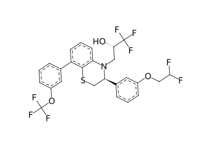 O[C@@H](CN1c2cccc(-c3cccc(OC(F)(F)F)c3)c2SC[C@@H]1c1cccc(OCC(F)F)c1)C(F)(F)F